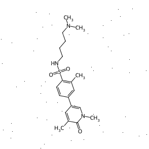 Cc1cc(-c2cc(C)c(=O)n(C)c2)ccc1S(=O)(=O)NCCCCN(C)C